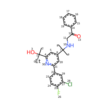 CCC(C)(O)c1cc(C(C)(C)NCC(=O)c2ccccc2)cc(-c2ccc(F)c(Cl)c2)n1